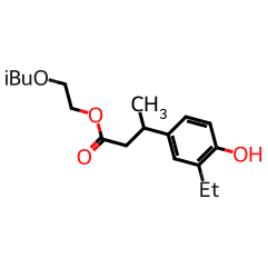 CCc1cc(C(C)CC(=O)OCCOCC(C)C)ccc1O